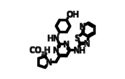 O=C(O)[C@@H]1CCCN1Cc1cc(Nc2nc3cccnc3s2)nc(N[C@H]2CC[C@H](O)CC2)n1